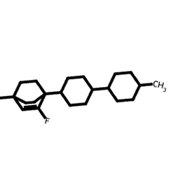 CC1CCC(C2CCC(C34CCC(I)(C=C3F)CC4)CC2)CC1